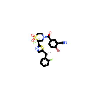 C[C@@H](c1cnc([C@]2(F)CN(C(=O)c3ccc(Br)c(C#N)c3)CCS2(=O)=O)s1)c1ccccc1F